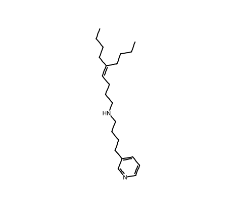 CCCCC(=CCCCNCCCCc1cccnc1)CCCC